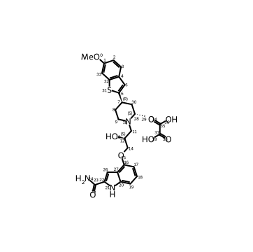 COc1ccc2cc([C@@H]3CCN(C[C@H](O)COc4cccc5[nH]c(C(N)=O)cc45)[C@@H](C)C3)sc2c1.O=C(O)C(=O)O